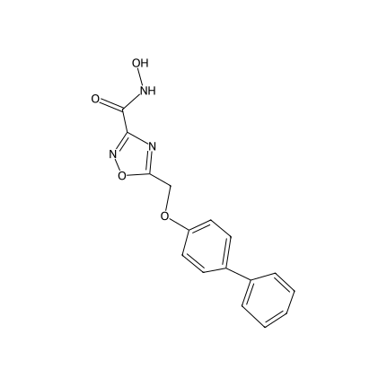 O=C(NO)c1noc(COc2ccc(-c3ccccc3)cc2)n1